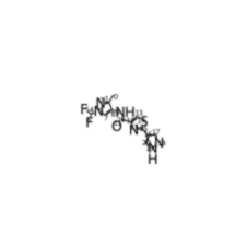 Cc1nn(C(F)F)cc1NC(=O)c1csc(-c2cn[nH]c2)n1